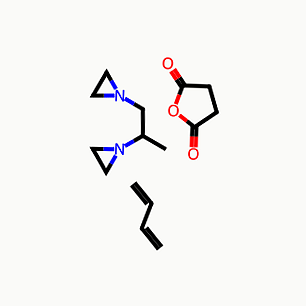 C=CC=C.CC(CN1CC1)N1CC1.O=C1CCC(=O)O1